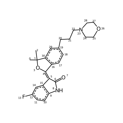 CC1(C)O/C(=C2/C(=O)Nc3ccc(F)cc32)c2ccc(CCCN3CCOCC3)cc21